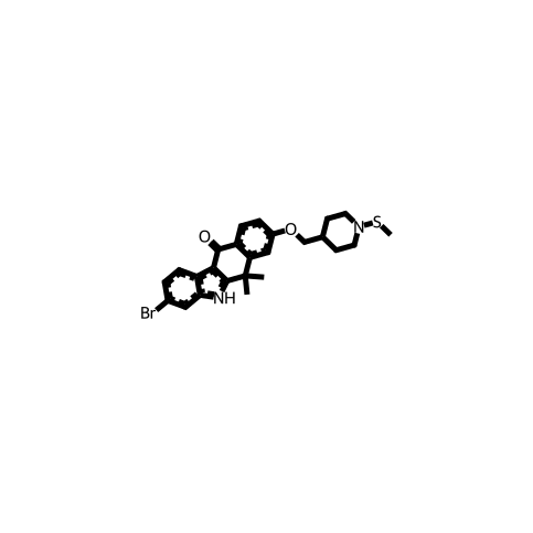 CSN1CCC(COc2ccc3c(c2)C(C)(C)c2[nH]c4cc(Br)ccc4c2C3=O)CC1